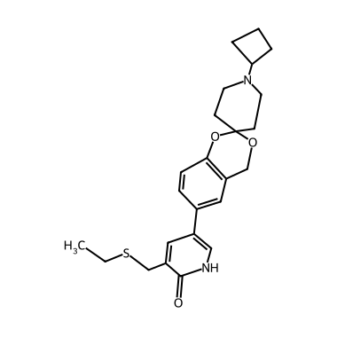 CCSCc1cc(-c2ccc3c(c2)COC2(CCN(C4CCC4)CC2)O3)c[nH]c1=O